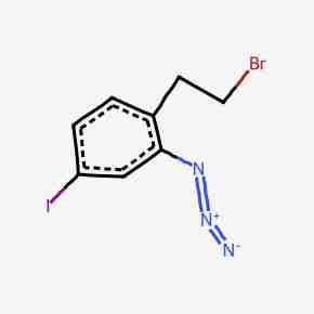 [N-]=[N+]=Nc1cc(I)ccc1CCBr